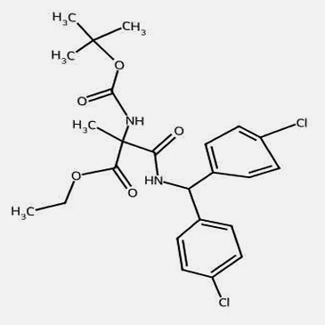 CCOC(=O)C(C)(NC(=O)OC(C)(C)C)C(=O)NC(c1ccc(Cl)cc1)c1ccc(Cl)cc1